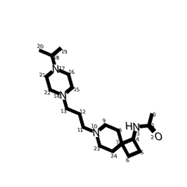 CC(=O)NC1CCC12CCN(CCCN1CCN(C(C)C)CC1)CC2